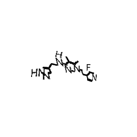 CC1=C(C)N(CCc2ccncc2F)CN=C1NCCc1cn[nH]c1